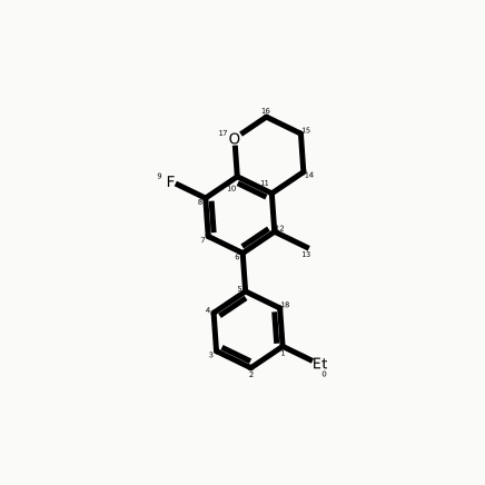 CCc1cccc(-c2cc(F)c3c(c2C)CCCO3)c1